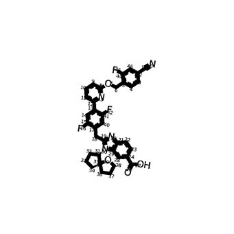 N#Cc1ccc(COc2cccc(-c3cc(F)c(Cc4nc5ccc(C(=O)O)cc5n4[C@H]4CCC[C@@]45CCCO5)cc3F)n2)c(F)c1